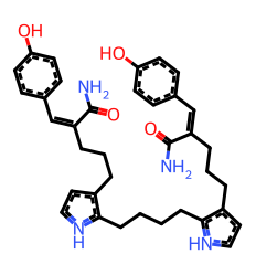 NC(=O)C(=Cc1ccc(O)cc1)CCCc1cc[nH]c1CCCCc1[nH]ccc1CCCC(=Cc1ccc(O)cc1)C(N)=O